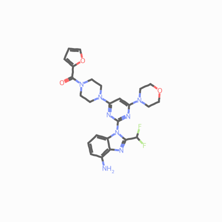 Nc1cccc2c1nc(C(F)F)n2-c1nc(N2CCOCC2)cc(N2CCN(C(=O)c3ccco3)CC2)n1